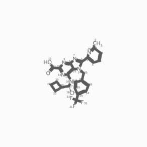 Cc1cccc(-c2nc3nc(C(=O)O)nc(N[C@H](C)C4CCC4)c3n2Cc2ccc(C(F)(F)F)cc2)n1